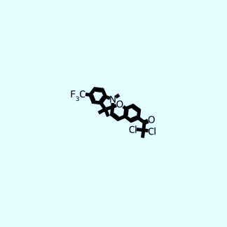 CN1c2ccc(C(F)(F)F)cc2C(C)(C)C12C=Cc1cc(C(=O)C(C)(Cl)Cl)ccc1O2